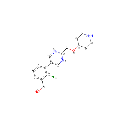 OCc1cccc(-c2cnc(COC3CCNCC3)nc2)c1F